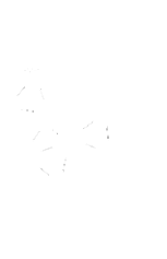 COc1ccc(-c2c(C)c3cc(C)ccc3n2Cc2ccc(CCO)cc2)cc1